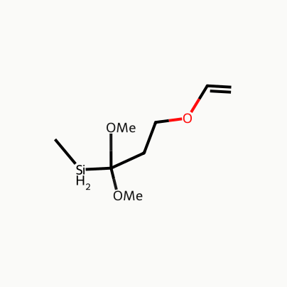 C=COCCC(OC)(OC)[SiH2]C